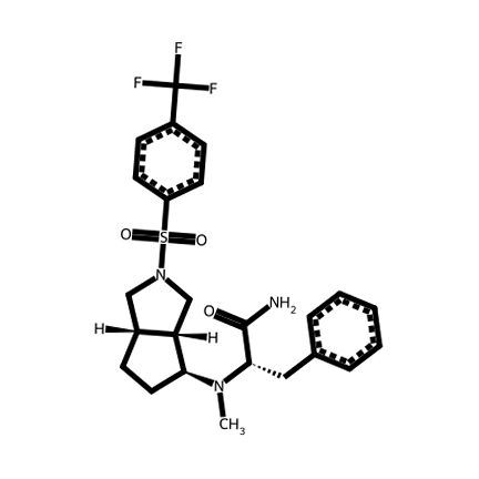 CN([C@@H](Cc1ccccc1)C(N)=O)[C@H]1CC[C@@H]2CN(S(=O)(=O)c3ccc(C(F)(F)F)cc3)C[C@@H]21